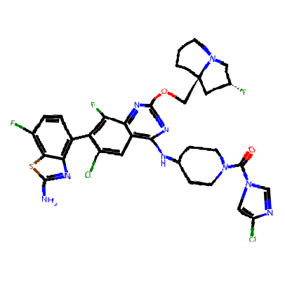 Nc1nc2c(-c3c(Cl)cc4c(NC5CCN(C(=O)n6cnc(Cl)c6)CC5)nc(OC[C@@]56CCCN5C[C@H](F)C6)nc4c3F)ccc(F)c2s1